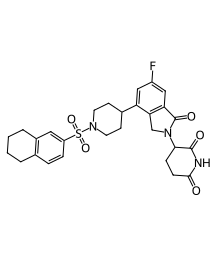 O=C1CCC(N2Cc3c(cc(F)cc3C3CCN(S(=O)(=O)c4ccc5c(c4)CCCC5)CC3)C2=O)C(=O)N1